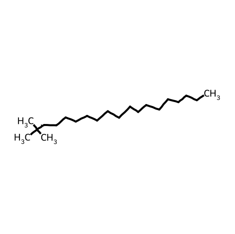 CCCCCCCCCCCCCCCC[CH]C(C)(C)C